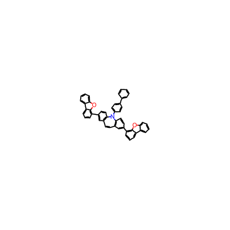 C1=Cc2cc(-c3cccc4c3oc3ccccc34)ccc2N(c2ccc(-c3ccccc3)cc2)c2ccc(-c3cccc4c3oc3ccccc34)cc21